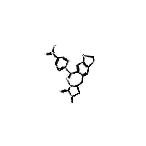 CN1CC2Cc3cc4c(cc3C(c3ccc([N+](=O)[O-])cc3)=NN2C1=O)OCO4